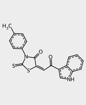 Cc1ccc(N2C(=O)C(=CC(=O)c3c[nH]c4ccccc34)SC2=S)cc1